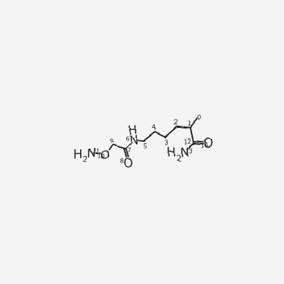 CC(CCCCNC(=O)CON)C(N)=O